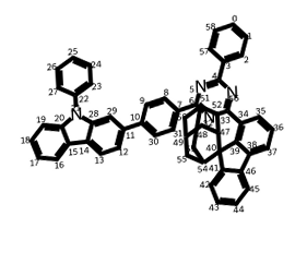 c1ccc(-c2nc(-c3ccc(-c4ccc5c6ccccc6n(-c6ccccc6)c5c4)cc3)nc(-c3cccc4c3C3(c5ccccc5-4)C4CC5CC(C4)CC3C5)n2)cc1